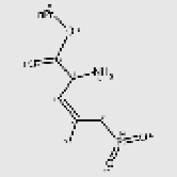 CCCOC(=O)C(N)C=C(C)CP(=O)=O